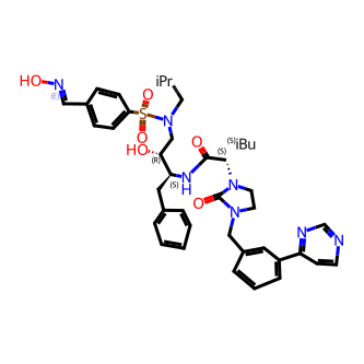 CC[C@H](C)[C@@H](C(=O)N[C@@H](Cc1ccccc1)[C@H](O)CN(CC(C)C)S(=O)(=O)c1ccc(/C=N/O)cc1)N1CCN(Cc2cccc(-c3ccncn3)c2)C1=O